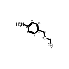 [2H]COCc1ccc(N)cc1